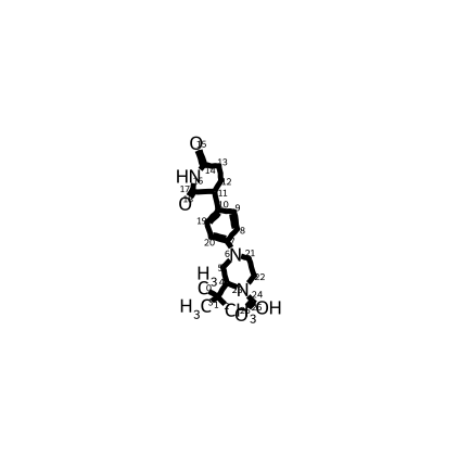 CC(C)(C)C1CN(c2ccc(C3CCC(=O)NC3=O)cc2)CCN1C(=O)O